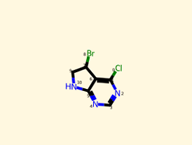 Clc1ncnc2c1C(Br)CN2